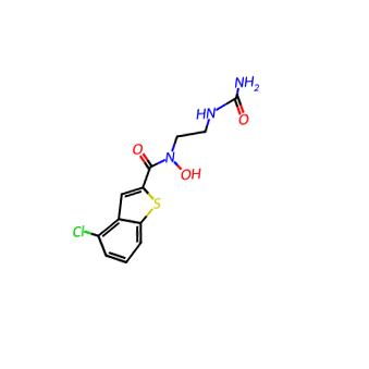 NC(=O)NCCN(O)C(=O)c1cc2c(Cl)cccc2s1